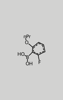 CCCOc1cccc(F)c1B(O)O